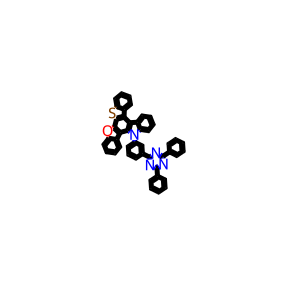 c1ccc(-c2nc(-c3ccccc3)nc(-c3cccc(-n4c5ccccc5c5c6c7ccccc7sc6c6oc7ccccc7c6c54)c3)n2)cc1